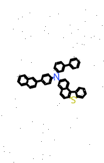 c1ccc(-c2cccc(N(c3ccc(-c4ccc5ccccc5c4)cc3)c3ccc4c(ccc5sc6ccccc6c54)c3)c2)cc1